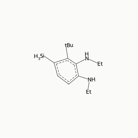 CCNc1ccc([SiH3])c(C(C)(C)C)c1NCC